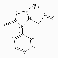 C=CCn1c(N)cc(=O)n1-c1ccccc1